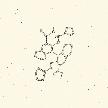 COC(=O)c1cc2ccccc2c(-c2c(OPn3cccc3)c(C(=O)OC)cc3ccccc23)c1OPn1cccc1